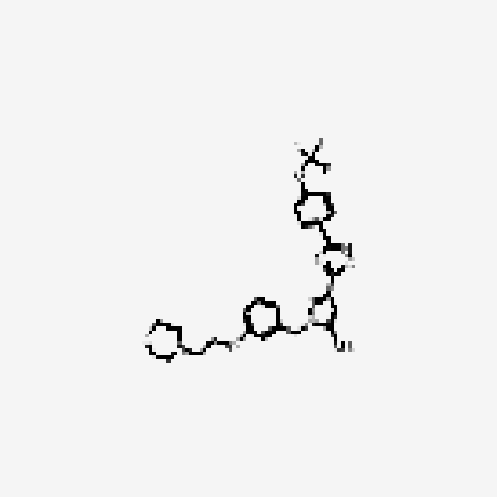 Cc1cc(-c2nc(-c3ccc(OC(F)(F)F)cc3)no2)nn1Cc1cccc(OCCN2CCOCC2)c1